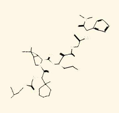 CCC[C@@H](NC(=O)[C@@H]1C2C(CN1C(=O)[C@@H](NC(=O)OCC(C)C)C1(C)CCCCC1)C2(C)C)C(=O)C(=O)NCC(=O)N[C@H](C(=O)N(C)C)c1ccccc1